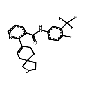 Cc1ccc(NC(=O)c2cccnc2C2=CCC3(CCOC3)CC2)cc1C(F)(F)F